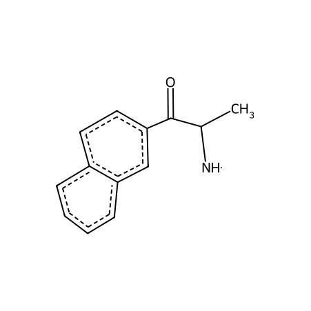 CC([NH])C(=O)c1ccc2ccccc2c1